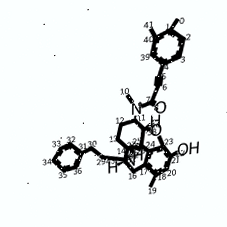 Cc1ccc(C#CC(=O)N(C)[C@H]2CC[C@H]3[C@H]4Cc5c(C)cc(O)c6c5[C@@]3(CCN4CCc3ccccc3)[C@H]2O6)cc1C